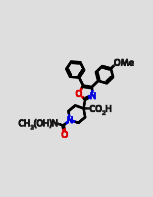 COc1ccc(-c2nc(C3(C(=O)O)CCN(C(=O)N(C)O)CC3)oc2-c2ccccc2)cc1